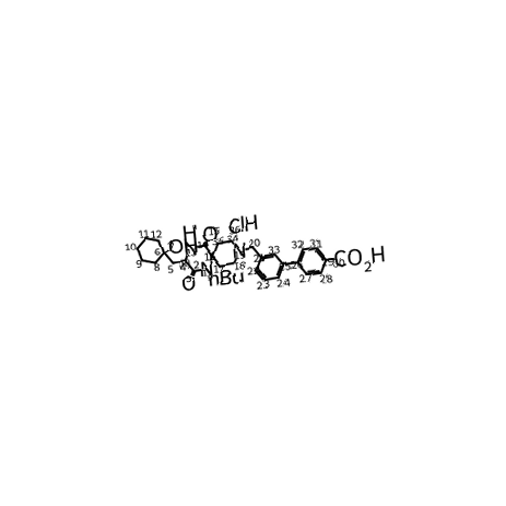 CCCCN1C(=O)[C@@H](CC2(O)CCCCC2)NC(=O)C12CCN(Cc1cccc(-c3ccc(C(=O)O)cc3)c1)CC2.Cl